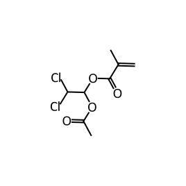 C=C(C)C(=O)OC(OC(C)=O)C(Cl)Cl